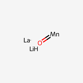 [La].[LiH].[O]=[Mn]